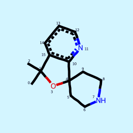 CC1(C)OC2(CCNCC2)c2ncccc21